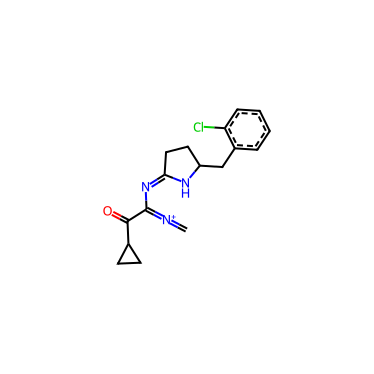 C=[N+]=C(/N=C1/CCC(Cc2ccccc2Cl)N1)C(=O)C1CC1